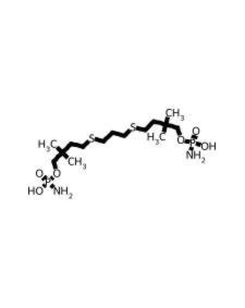 CC(C)(CCSCCCSCCC(C)(C)COP(N)(=O)O)COP(N)(=O)O